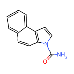 NC(=O)n1ccc2c3ccccc3ccc21